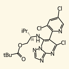 CC(C)[C@@H](COC(=O)C(C)(C)C)Nc1c(-c2ncc(Cl)cc2Cl)c(Cl)nc2ncnn12